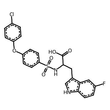 O=C(O)C(Cc1c[nH]c2ccc(F)cc12)NS(=O)(=O)c1ccc(Oc2ccc(Cl)cc2)cc1